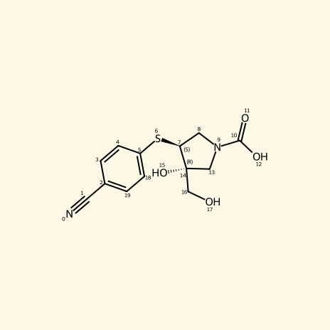 N#Cc1ccc(S[C@H]2CN(C(=O)O)C[C@@]2(O)CO)cc1